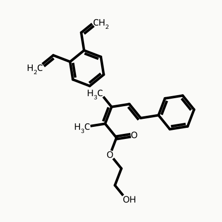 C=Cc1ccccc1C=C.CC(C=Cc1ccccc1)=C(C)C(=O)OCCO